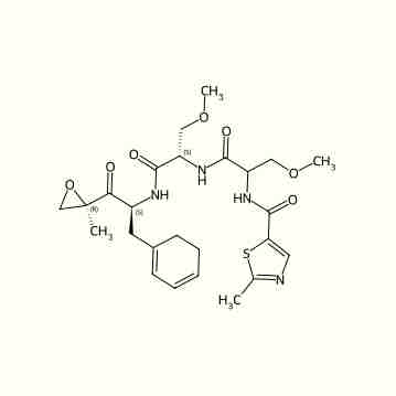 COCC(NC(=O)c1cnc(C)s1)C(=O)N[C@@H](COC)C(=O)N[C@@H](CC1=CC=CCC1)C(=O)[C@@]1(C)CO1